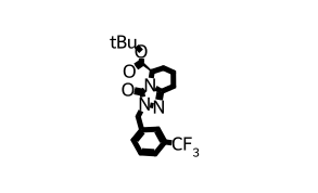 CC(C)(C)OC(=O)[C@H]1CCCc2nn(Cc3cccc(C(F)(F)F)c3)c(=O)n21